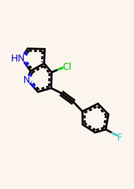 Fc1ccc(C#Cc2cnc3[nH]ccc3c2Cl)cc1